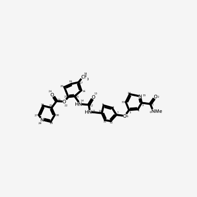 CNC(=O)c1cc(Oc2ccc(NC(=O)Nc3cc(C(F)(F)F)ccc3OC(=O)c3ccncc3)cc2)ccn1